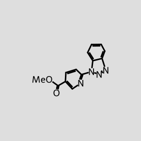 COC(=O)c1ccc(-n2nnc3ccccc32)nc1